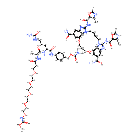 CCc1nc(C)oc1C(=O)Nc1nc2cc(C(N)=O)cc3c2n1C/C=C/Cn1c(NC(=O)c2oc(C)nc2CC)nc2cc(C(N)=O)cc(c21)OCC1(CO3)CN(C(=O)OCc2ccc(NC(=O)[C@H](CCCNC(N)=O)NC(=O)[C@@H](NC(=O)CCOCCOCCOCCOCCONC(=O)OC(C)(C)C)C(C)C)cc2)C1